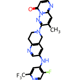 Cc1cc2nccc(=O)n2nc1N1CCc2ncc(Nc3cc(C(F)(F)F)ncc3F)cc2C1